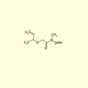 C=CC(OCC(=O)N(C)OC)C(F)(F)F